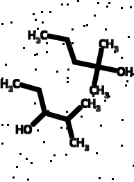 CCC(O)C(C)C.CCCC(C)(C)O